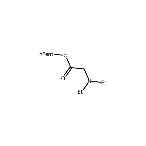 CCCCCOC(=O)CN(CC)CC